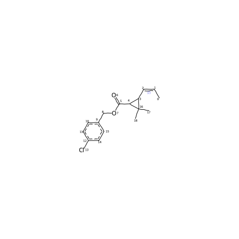 C/C=C\C1C(C(=O)OCc2ccc(Cl)cc2)C1(C)C